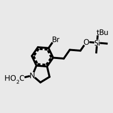 CC(C)(C)[Si](C)(C)OCCCc1c(Br)ccc2c1CCN2C(=O)O